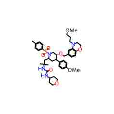 COCCCN1CCOc2ccc(CO[C@H]3CN(S(=O)(=O)c4ccc(C)cc4)C(CC(C)(C)NC(=O)NC4CCOCC4)CC3c3ccc(OC)cc3)cc21